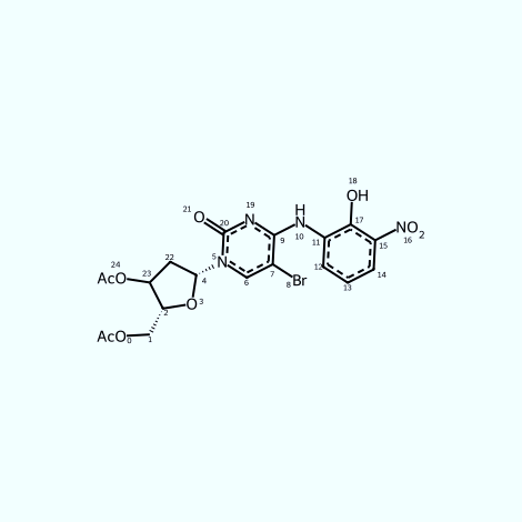 CC(=O)OC[C@H]1O[C@@H](n2cc(Br)c(Nc3cccc([N+](=O)[O-])c3O)nc2=O)CC1OC(C)=O